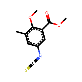 COC(=O)c1cc(N=C=S)cc(C)c1OC